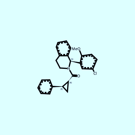 COc1ccc(Cl)cc1[C@@H]1c2ccccc2CCN1C(=O)[C@@H]1C[C@H]1c1ccccc1